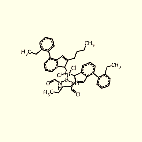 CCCCC1=Cc2c(-c3ccccc3CC)cccc2[CH]1[Hf]([Cl])([Cl])([B](NC=O)NC=O)[CH]1C(CCCC)=Cc2c(-c3ccccc3CC)cccc21